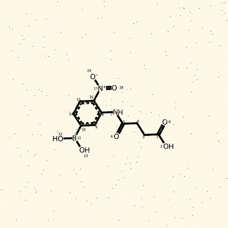 O=C(O)CCC(=O)Nc1cc(B(O)O)ccc1[N+](=O)[O-]